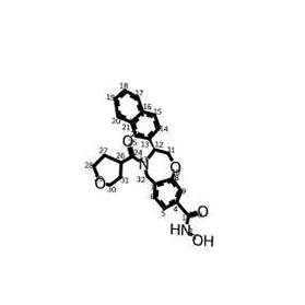 O=C(NO)c1ccc2c(c1)OC[C@H](c1ccc3ccccc3c1)N(C(=O)C1CCOCC1)C2